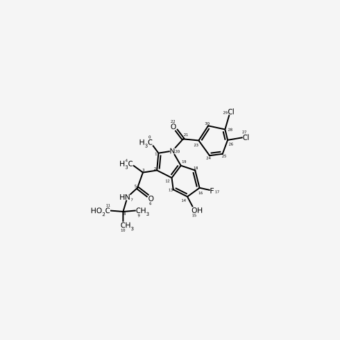 Cc1c(C(C)C(=O)NC(C)(C)C(=O)O)c2cc(O)c(F)cc2n1C(=O)c1ccc(Cl)c(Cl)c1